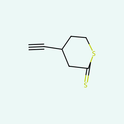 C#CC1CCSC(=S)C1